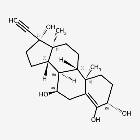 C#C[C@]1(O)CC[C@H]2[C@@H]3[C@H](O)CC4=C(O)[C@@H](O)CC[C@]4(C)[C@H]3CC[C@@]21C